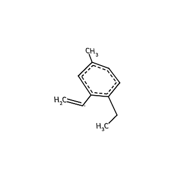 C=[C]c1cc(C)ccc1CC